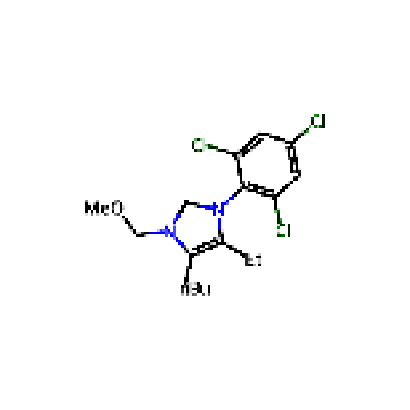 CCCCC1=C(CC)N(c2c(Cl)cc(Cl)cc2Cl)CN1COC